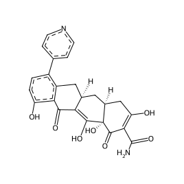 NC(=O)C1=C(O)C[C@@H]2C[C@@H]3Cc4c(-c5ccncc5)ccc(O)c4C(=O)C3=C(O)[C@]2(O)C1=O